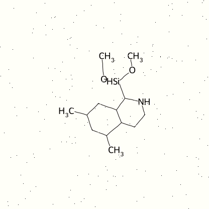 CO[SiH](OC)C1NCCC2C(C)CC(C)CC21